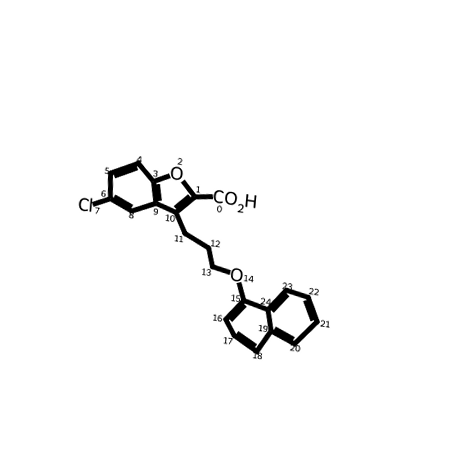 O=C(O)c1oc2ccc(Cl)cc2c1CCCOc1cccc2ccccc12